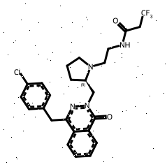 O=C(CC(F)(F)F)NCCN1CCC[C@@H]1Cn1nc(Cc2ccc(Cl)cc2)c2ccccc2c1=O